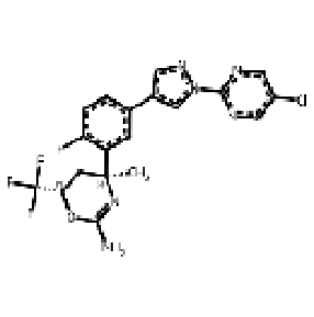 C[C@@]1(c2cc(-c3cnn(-c4ncc(Cl)cn4)c3)ccc2F)C[C@@H](C(F)(F)F)OC(N)=N1